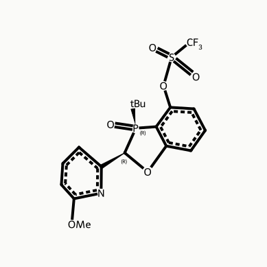 COc1cccc([C@@H]2Oc3cccc(OS(=O)(=O)C(F)(F)F)c3[P@]2(=O)C(C)(C)C)n1